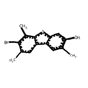 Cc1cc2c(cc1O)sc1c(C)c(Br)c(C)cc12